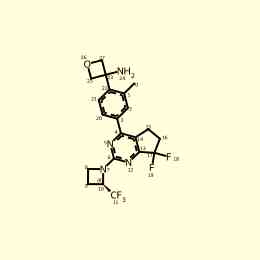 Cc1cc(-c2nc(N3CC[C@@H]3C(F)(F)F)nc3c2CCC3(F)F)ccc1C1(N)COC1